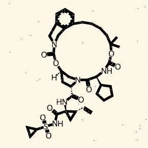 C=C[C@@H]1C[C@]1(NC(=O)[C@@H]1C[C@@H]2CN1C(=O)[C@H](C1CCCC1)NC(=O)OC(C)(C)CCCCc1cccc3c1CN(C3)C(=O)O2)C(=O)NS(=O)(=O)C1CC1